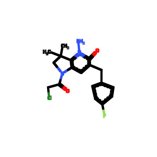 CC1(C)CN(C(=O)CCl)c2cc(Cc3ccc(F)cc3)c(=O)n(N)c21